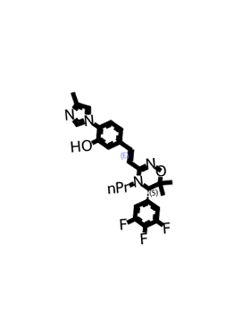 CCCN1C(/C=C/c2ccc(-n3cnc(C)c3)c(O)c2)=NOC(C)(C)[C@@H]1c1cc(F)c(F)c(F)c1